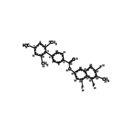 Cc1cc(C)c(-c2ccc(C(=O)Oc3cc(F)c4c(F)c(C)c(F)cc4c3)cc2)c(C)c1